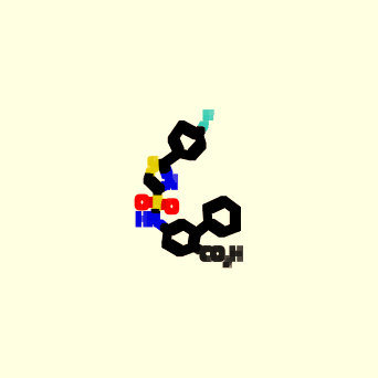 O=C(O)c1ccc(NS(=O)(=O)c2csc(-c3ccc(F)cc3)n2)cc1-c1ccccc1